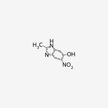 Cc1nc2cc([N+](=O)[O-])c(O)cc2[nH]1